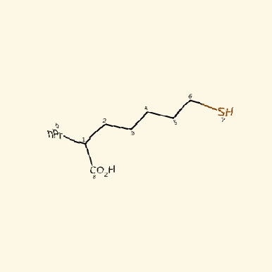 CCCC(CCCCCS)C(=O)O